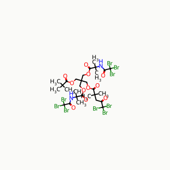 CC(C)(C)C(=O)OCC(COC(=O)C(C)(C)CC(=O)C(Br)(Br)Br)(COC(=O)C(C)(C)NC(=O)C(Br)(Br)Br)COC(=O)C(C)(C)NC(=O)C(Br)(Br)Br